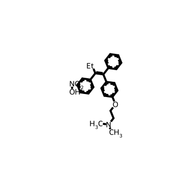 CC/C(=C(\c1ccccc1)c1ccc(OCCN(C)C)cc1)c1ccccc1.O=[N+]([O-])O